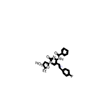 CC[C@H]1O[C@@H](n2cc(/C=C/c3ccc(F)cc3)c(NC(=O)c3ccccc3)nc2=O)C[C@H]1O